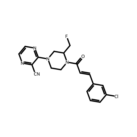 N#Cc1nccnc1N1CCN(C(=O)/C=C/c2cccc(Cl)c2)C(CF)C1